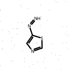 N=Nc1cncs1